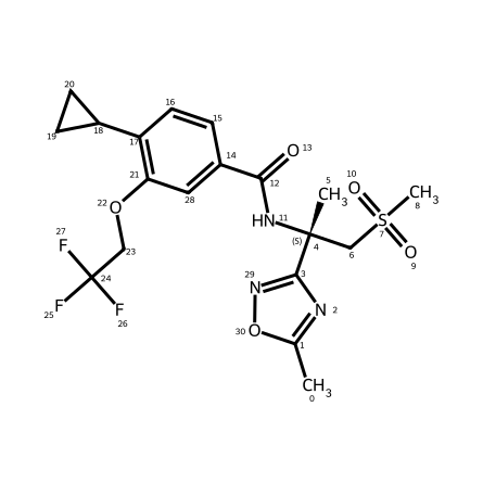 Cc1nc([C@@](C)(CS(C)(=O)=O)NC(=O)c2ccc(C3CC3)c(OCC(F)(F)F)c2)no1